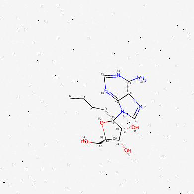 CCCC[C@@]1(n2cnc3c(N)ncnc32)O[C@H](CO)[C@@H](O)[C@H]1O